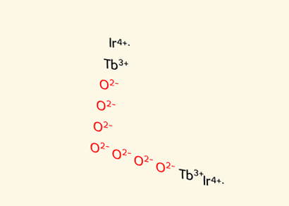 [Ir+4].[Ir+4].[O-2].[O-2].[O-2].[O-2].[O-2].[O-2].[O-2].[Tb+3].[Tb+3]